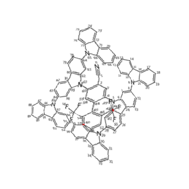 N#Cc1cc(-n2c3cc(-n4c5ccccc5c5ccccc54)ccc3c3ccc(-n4c5ccccc5c5ccccc54)cc32)c(-c2c(C(F)(F)F)cccc2C(F)(F)F)cc1-n1c2cc(-n3c4ccccc4c4ccccc43)ccc2c2ccc(-n3c4ccccc4c4ccccc43)cc21